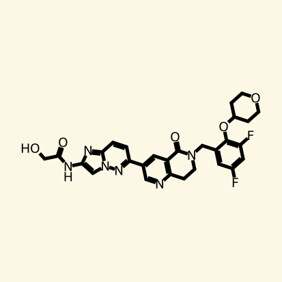 O=C(CO)Nc1cn2nc(-c3cnc4c(c3)C(=O)N(Cc3cc(F)cc(F)c3OC3CCOCC3)CC4)ccc2n1